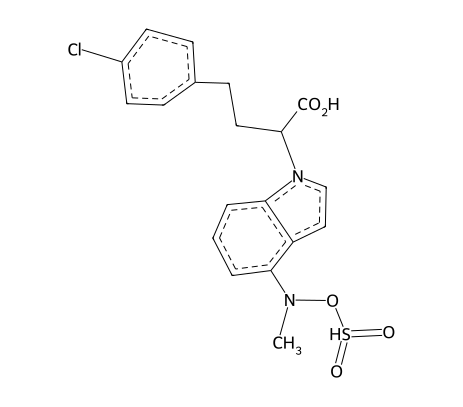 CN(O[SH](=O)=O)c1cccc2c1ccn2C(CCc1ccc(Cl)cc1)C(=O)O